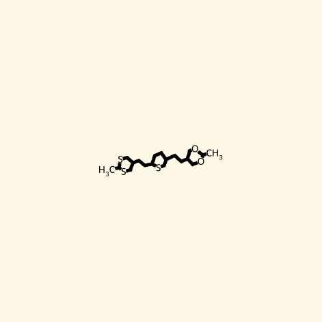 CC1OCC(CCC2CCC(CCC3CSC(C)SC3)SC2)CO1